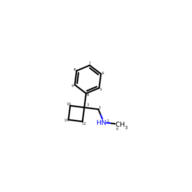 CNCC1(c2ccccc2)CCC1